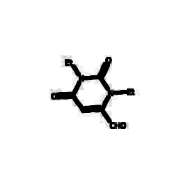 CCn1c(C=O)cc(=O)n(CC)c1=O